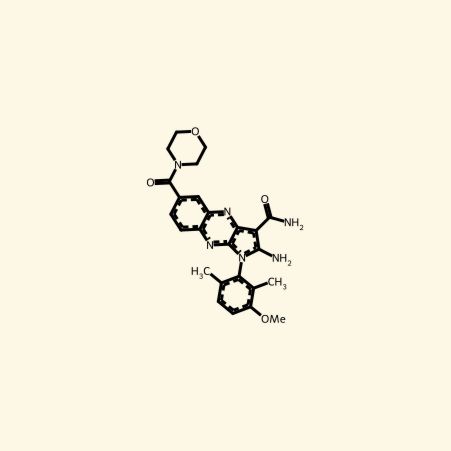 COc1ccc(C)c(-n2c(N)c(C(N)=O)c3nc4cc(C(=O)N5CCOCC5)ccc4nc32)c1C